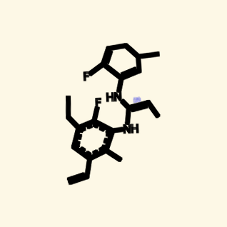 C=Cc1cc(CC)c(F)c(N/C(=C\C)NC2=CC(C)CC=C2F)c1C